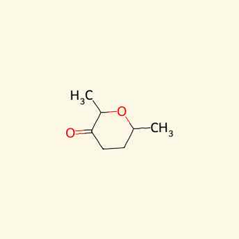 CC1CCC(=O)C(C)O1